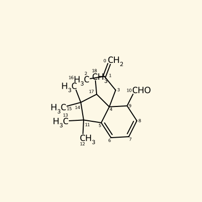 C=C(C)CC12C(=CC=CC1C=O)C(C)(C)C(C)(C)C2C